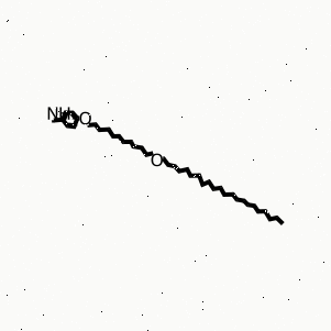 CCCCCCCCCCCCCCCCCCCCCCOCCCCCCCCCCCCOc1ccc(CN)cc1